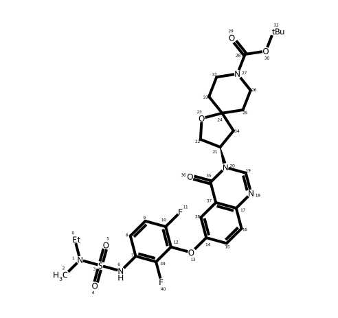 CCN(C)S(=O)(=O)Nc1ccc(F)c(Oc2ccc3ncn([C@H]4COC5(CCN(C(=O)OC(C)(C)C)CC5)C4)c(=O)c3c2)c1F